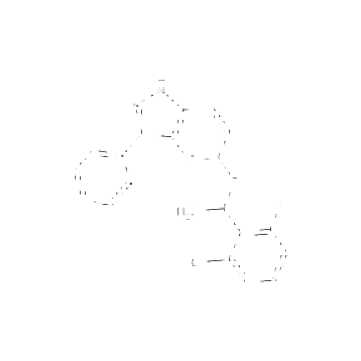 CC(Oc1ccc2[nH]nc(-c3ccccc3)c2c1)c1c(Cl)cncc1Cl